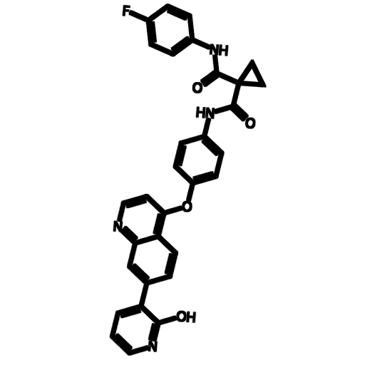 O=C(Nc1ccc(F)cc1)C1(C(=O)Nc2ccc(Oc3ccnc4cc(-c5cccnc5O)ccc34)cc2)CC1